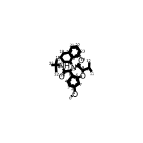 COc1ccc2c(c1)OC(C(C)C)C(=O)N(C1CCCc3ccccc31)C2C(=O)NC(C)(C)C